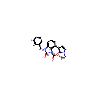 Cn1ccc(-c2cccc3c2n(C(=O)OC(C)(C)C)c(=O)n3Cc2ccccc2)c1